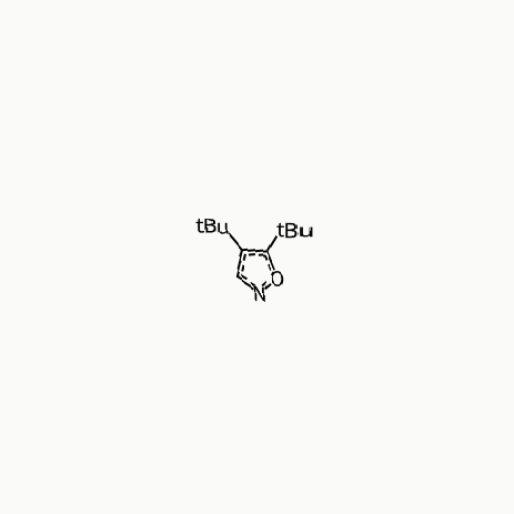 CC(C)(C)c1cnoc1C(C)(C)C